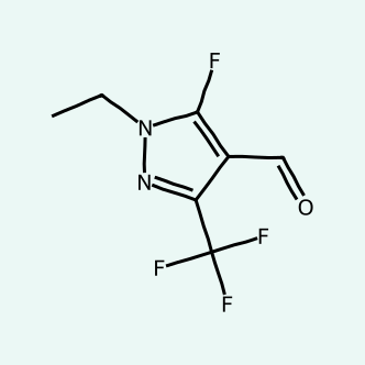 CCn1nc(C(F)(F)F)c(C=O)c1F